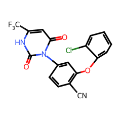 N#Cc1ccc(-n2c(=O)cc(C(F)(F)F)[nH]c2=O)cc1Oc1ccccc1Cl